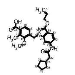 C=CCOc1nn(Cc2ccc(C(=O)O)c(C)c2OC)c2cc(NC(=O)CC3CCCC3)ccc12